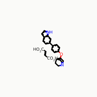 O=C(O)C=CC(=O)O.c1cc2ccc(-c3ccc(OC4CN5CCC4CC5)cc3)cc2[nH]1